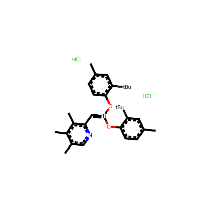 Cc1ccc([O][Ti](=[CH]c2ncc(C)c(C)c2C)[O]c2ccc(C)cc2C(C)(C)C)c(C(C)(C)C)c1.Cl.Cl